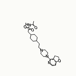 CC(=O)NS(=O)(=O)CC1CCC(CCN2CCN(c3nccc4c3CCO4)CC2)CC1